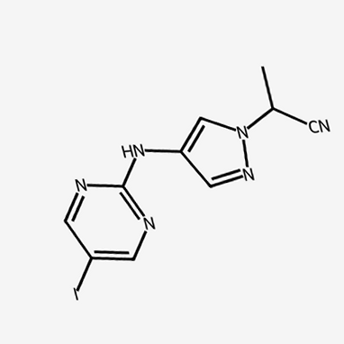 CC(C#N)n1cc(Nc2ncc(I)cn2)cn1